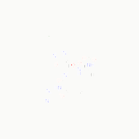 Cc1nc2ccc(F)cc2nc1O[C@@H]1C[C@H]2C(=O)N[C@]3(C(=O)NS(=O)(=O)C4CC4)C[C@H]3/C=C\CCCCC[C@H](NC(=O)c3cnccn3)C(=O)N2C1